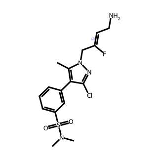 Cc1c(-c2cccc(S(=O)(=O)N(C)C)c2)c(Cl)nn1C/C(F)=C/CN